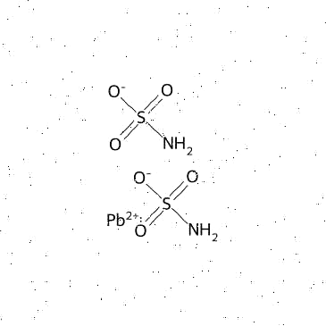 NS(=O)(=O)[O-].NS(=O)(=O)[O-].[Pb+2]